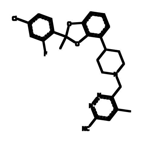 Cc1cc(C#N)nnc1CN1CCC(c2cccc3c2OC(C)(c2ccc(Cl)cc2F)O3)CC1